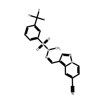 CN(/N=C\c1cnn2ccc(C#N)cc12)S(=O)(=O)c1cccc(C(F)(F)F)c1